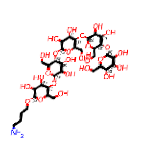 NCCCCO[C@H]1OC(CO)[C@H](O[C@H]2OC(CO)[C@@H](O[C@@H]3OC(CO)[C@@H](O[C@@H]4OC(CO)[C@@H](O[C@H]5OC(CO)[C@H](O)[C@H](O)C5O)[C@H](O)C4O)[C@H](O)C3O)[C@H](O)C2O)[C@H](O)C1O